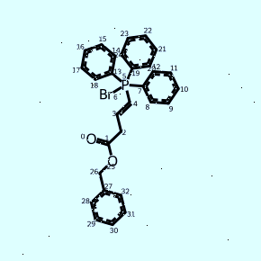 O=C(CC=CP(Br)(c1ccccc1)(c1ccccc1)c1ccccc1)OCc1ccccc1